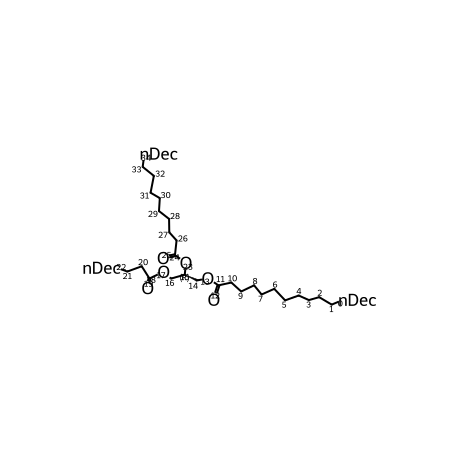 CCCCCCCCCCCCCCCCCCCCC(=O)OC[C@@H](COC(=O)CCCCCCCCCCCC)OC(=O)CCCCCCCCCCCCCCCCCC